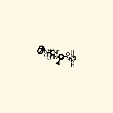 O=C(N=C1NCCN1)c1cc(F)c(Nc2nccc(C(=O)NC34CC5CC(CC(C5)C3)C4)c2Cl)c(C2CC2)c1